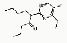 CCCCN(C(=O)CCC)c1ncc(F)c(CC)n1